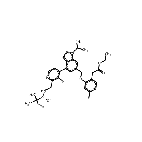 CCOC(=O)Cc1ccc(F)cc1OCc1cc(-c2ccnc(CN[S@+]([O-])C(C)(C)C)c2F)c2ccn(C(C)C)c2c1